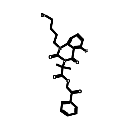 CC(C)(C(=O)OCC(=O)c1ccccc1)n1c(=O)c2c(F)cccc2n(CCCCBr)c1=O